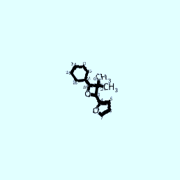 CC1(C)C(c2ccco2)OC1C1CCCCC1